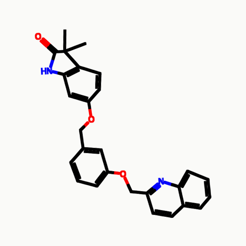 CC1(C)C(=O)Nc2cc(OCc3cccc(OCc4ccc5ccccc5n4)c3)ccc21